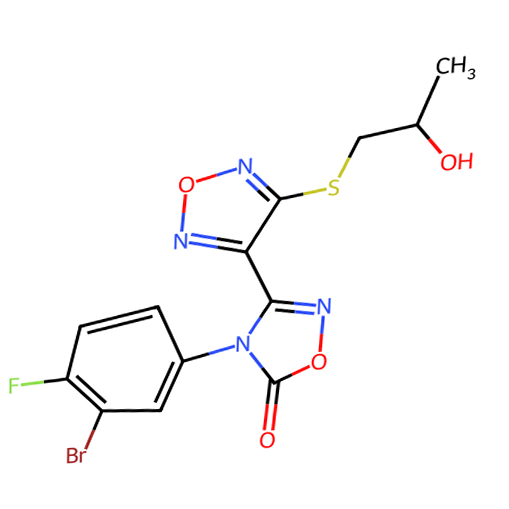 CC(O)CSc1nonc1-c1noc(=O)n1-c1ccc(F)c(Br)c1